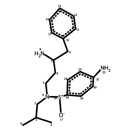 CC(C)CN(CCC(N)Cc1ccccc1)[S+]([O-])c1ccc(N)cc1